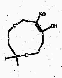 CC1(I)CCCC/C(N=O)=C(/O)CCC1